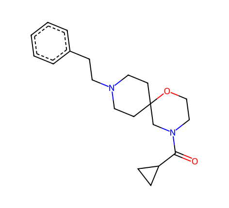 O=C(C1CC1)N1CCOC2(CCN(CCc3ccccc3)CC2)C1